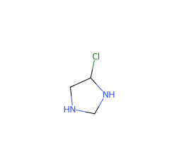 ClC1CNCN1